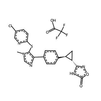 Cn1cnc(-c2ccc([C@H]3C[C@@H]3c3noc(=O)[nH]3)cc2)c1Sc1ccc(Cl)cn1.O=C(O)C(F)(F)F